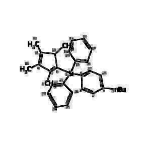 CCCCc1ccc([Si](C2=C(C)C(C)=C(C)C2C)(c2ccccc2)c2ccccc2)cc1